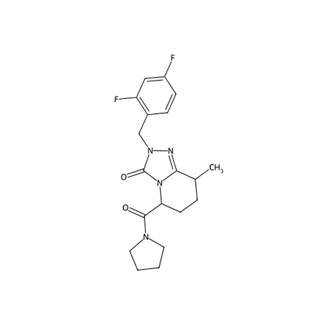 CC1CCC(C(=O)N2CCCC2)n2c1nn(Cc1ccc(F)cc1F)c2=O